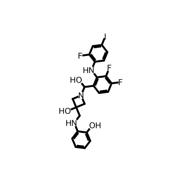 Oc1ccccc1NCC1(O)CN(C(O)c2ccc(F)c(F)c2Nc2ccc(I)cc2F)C1